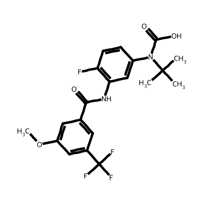 COc1cc(C(=O)Nc2cc(N(C(=O)O)C(C)(C)C)ccc2F)cc(C(F)(F)F)c1